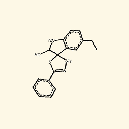 CCc1ccc2c(c1)C1(NN=C(c3ccccc3)S1)C(O)N2